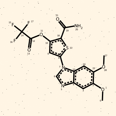 COc1cc2ncn(-c3cc(OC(=O)C(F)(F)F)c(C(N)=O)s3)c2cc1OC